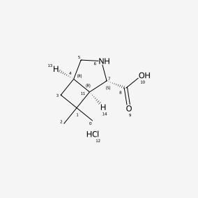 CC1(C)C[C@H]2CN[C@H](C(=O)O)[C@H]21.Cl